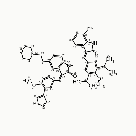 COc1c(C(C)C)cc(/C=C2\C(=O)Nc3c(F)cccc32)cc1C(C)C.COc1ccc(/C=C2/C(=O)Nc3ccc(CCN4CCOCC4)cc32)cc1-c1ccsc1